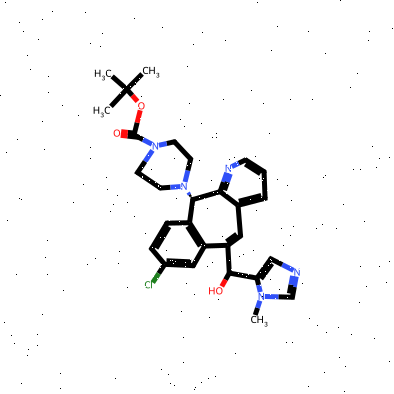 Cn1cncc1C(O)C1=Cc2cccnc2[C@@H](N2CCN(C(=O)OC(C)(C)C)CC2)c2ccc(Cl)cc21